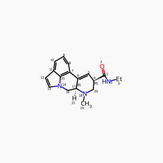 CCNC(=O)[C@@H]1C=C2c3cccc4ccn(c34)C[C@@H]2N(C)C1